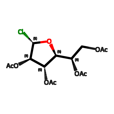 CC(=O)OC[C@@H](OC(C)=O)[C@@H]1O[C@@H](Cl)[C@H](OC(C)=O)[C@H]1OC(C)=O